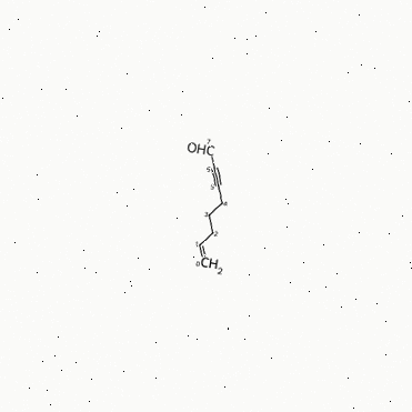 C=CCCCC#CC=O